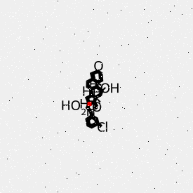 C[C@]12C=CC(=O)C=C1CC[C@H]1[C@@H]3C[C@H]4CN(c5cccc(Cl)c5)O[C@@]4(C(=O)O)[C@@]3(C)C[C@H](O)[C@@]12F